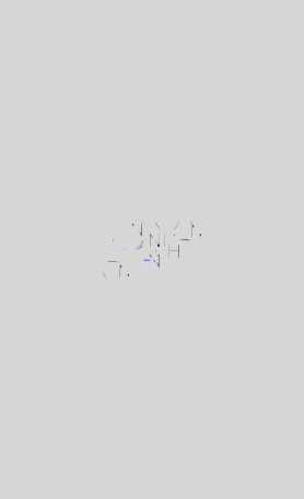 C/N=C\C(C(=O)c1ccccn1)=C1\N=CC=C(c2ccncc2)N1